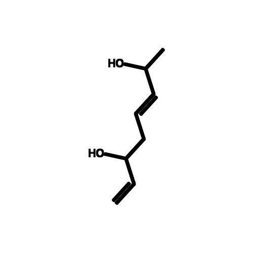 C=CC(O)C/C=C/C(C)O